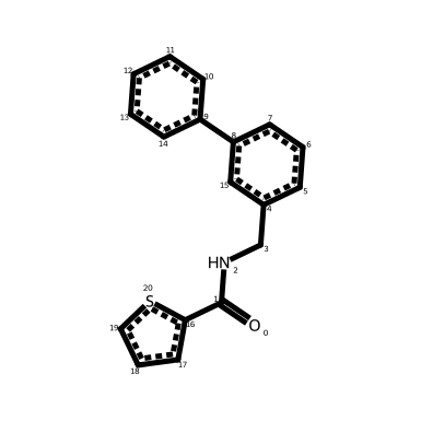 O=C(NCc1cccc(-c2ccccc2)c1)c1cccs1